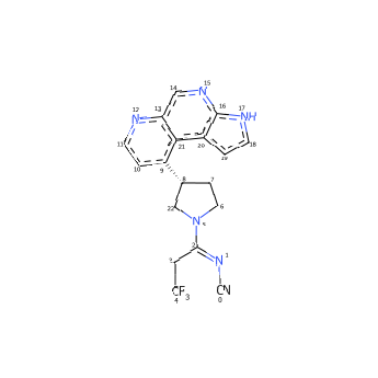 N#C/N=C(\CC(F)(F)F)N1CC[C@@H](c2ccnc3cnc4[nH]ccc4c23)C1